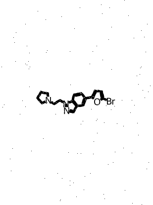 Brc1ccc(-c2ccc3c(cnn3CCN3CCCC3)c2)o1